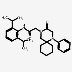 CC(C)c1cccc(C(C)C)c1NC(=O)CN1CC2(CCCCC2)N(c2ccccc2)CC1=O